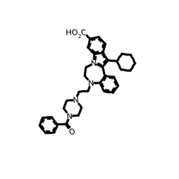 O=C(O)c1ccc2c(C3CCCCC3)c3n(c2c1)CCN(CCN1CCN(C(=O)c2ccccc2)CC1)c1ccccc1-3